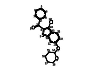 O=C(c1ccccc1)c1sc2cc(OC3CCCCO3)ccc2c1Cl